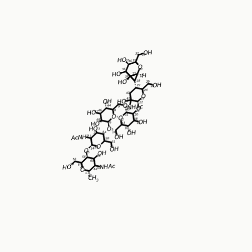 CC(=O)NC1C(O)[C@H](O[C@@H]2OC(CO[C@H]3OC(CO)[C@@H](O)C(O)C3O[C@@H]3OC(CO)[C@@H](C4[C@@H]5OC(CO)[C@H](O)C(O)C45O)CC3(O)NC(C)=O)[C@@H](O)C(O)C2O)C(CO)O[C@H]1O[C@@H]1C(CO)O[C@@H](C)C(NC(C)=O)C1O